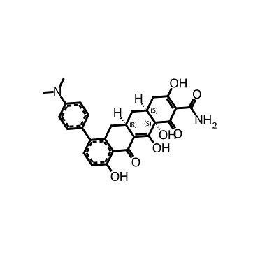 CN(C)c1ccc(-c2ccc(O)c3c2C[C@H]2C[C@H]4CC(O)=C(C(N)=O)C(=O)[C@@]4(O)C(O)=C2C3=O)cc1